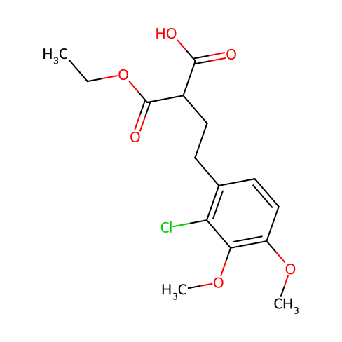 CCOC(=O)C(CCc1ccc(OC)c(OC)c1Cl)C(=O)O